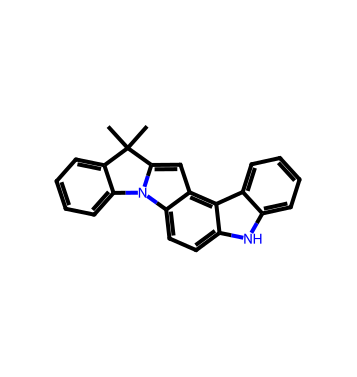 CC1(C)c2ccccc2-n2c1cc1c3c(ccc12)[nH]c1ccccc13